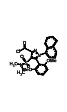 COc1cccc(OC)c1-c1c(S(=O)(=O)N(C)C)c(C(=O)Cl)nn1-c1cccc2ccccc12